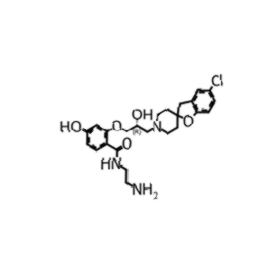 NCCNC(=O)c1ccc(O)cc1OC[C@H](O)CN1CCC2(CC1)Cc1cc(Cl)ccc1O2